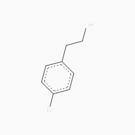 OC[CH]c1ccc(Br)cc1